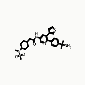 CN(C1CCC(CC(=O)Nc2cnc(-c3ccc(C(C)(C)N)cc3)c(-c3ccsc3)c2)CC1)S(C)(=O)=O